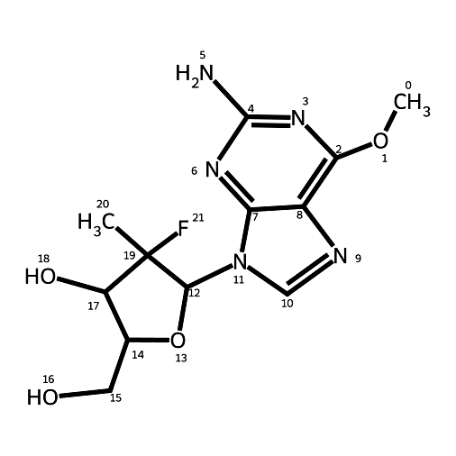 COc1nc(N)nc2c1ncn2C1OC(CO)C(O)C1(C)F